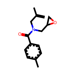 C=C(C)CN(CC1CO1)C(=O)c1ccc(C)cc1